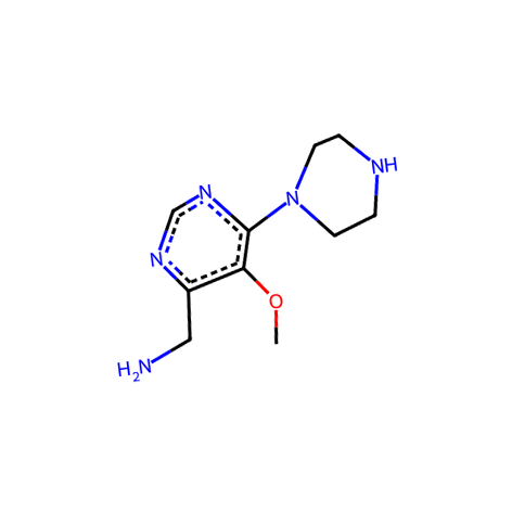 COc1c(CN)ncnc1N1CCNCC1